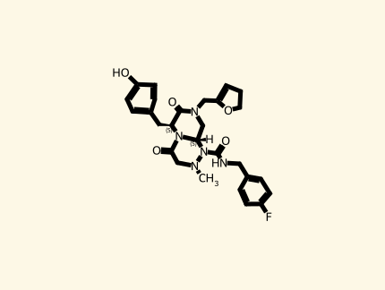 CN1CC(=O)N2[C@@H](Cc3ccc(O)cc3)C(=O)N(CC3=CCCO3)C[C@@H]2N1C(=O)NCc1ccc(F)cc1